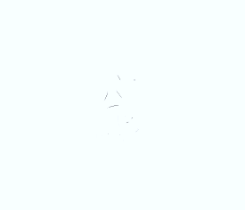 O=C(O)c1cc(C2CC2)c(OC2[C@H]3CC4C[C@H]2CC(F)(C4)C3)cc1F